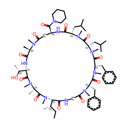 CC[C@H](C)[C@H]1C(=O)NCC(=O)N(C)[C@@H](Cc2ccccc2)C(=O)N(C)[C@@H](Cc2ccccc2)C(=O)N(C)[C@@H](CC(C)C)C(=O)N(C)[C@@H](CC(C)C)C(=O)N[C@H](C(=O)N2CCCCC2)CC(=O)N(C)[C@H](C)C(=O)N[C@@H]([C@@H](C)O)C(=O)N(C)[C@@H](C)C(=O)N1C